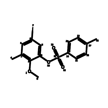 COc1c(C)cc(I)cc1OS(=O)(=O)c1ccc(C)cc1